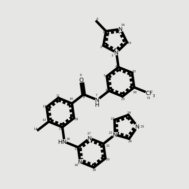 Cc1cn(-c2cc(NC(=O)c3ccc(C)c(Nc4nccc(-n5ccnc5)n4)c3)cc(C(F)(F)F)c2)cn1